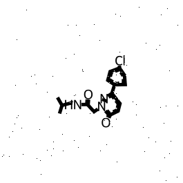 CC(C)CNC(=O)Cn1nc(-c2ccc(Cl)cc2)ccc1=O